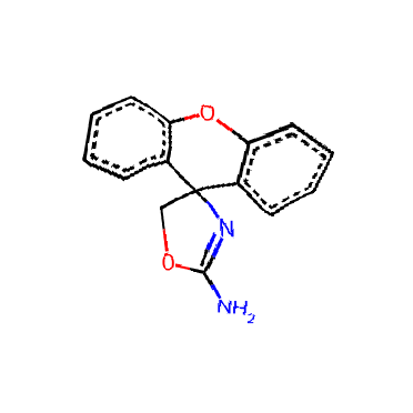 NC1=NC2(CO1)c1ccccc1Oc1ccccc12